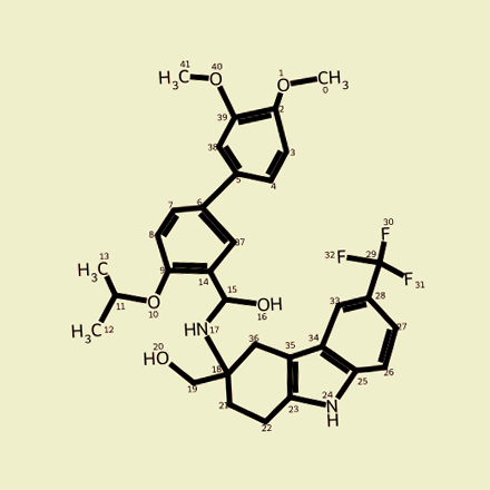 COc1ccc(-c2ccc(OC(C)C)c(C(O)NC3(CO)CCc4[nH]c5ccc(C(F)(F)F)cc5c4C3)c2)cc1OC